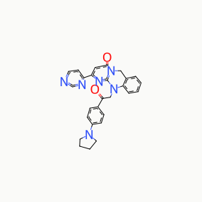 O=C(CN1c2ccccc2Cn2c1nc(-c1ccncn1)cc2=O)c1ccc(N2CCCC2)cc1